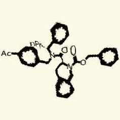 CCC[C@H](c1ccccc1)N(Cc1ccc(C(C)=O)cc1)C(=O)[C@@H]1Cc2ccccc2CN1C(=O)OCc1ccccc1